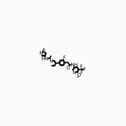 C=C/C(=C\N=C(/C)Nc1cnn(C)c1)c1ccc(CC(=O)Nc2cnc(OC)c(C(F)(F)F)c2)c(F)c1